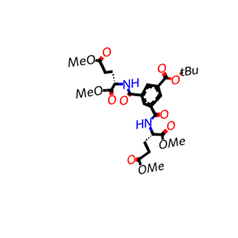 COC(=O)CC[C@H](NC(=O)c1cc(C(=O)N[C@@H](CCC(=O)OC)C(=O)OC)cc(C(=O)OC(C)(C)C)c1)C(=O)OC